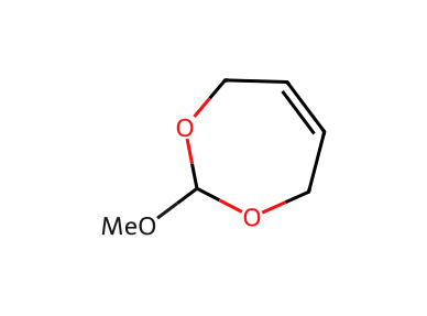 COC1OCC=CCO1